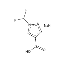 O=S(O)c1cnn(C(F)F)c1.[NaH]